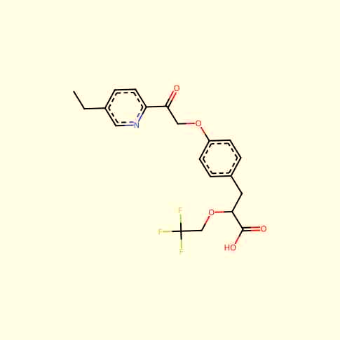 CCc1ccc(C(=O)COc2ccc(CC(OCC(F)(F)F)C(=O)O)cc2)nc1